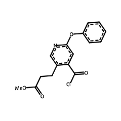 COC(=O)CCc1cnc(Oc2ccccc2)cc1C(=O)Cl